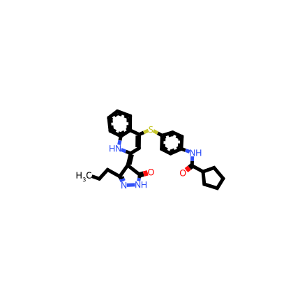 CCCC1=NNC(=O)C1=C1C=C(Sc2ccc(NC(=O)C3CCCC3)cc2)c2ccccc2N1